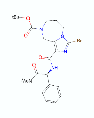 CNC(=O)[C@@H](NC(=O)c1nc(Br)n2c1CN(C(=O)OC(C)(C)C)CCC2)c1ccccc1